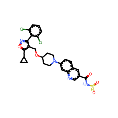 O=C(N[SH](=O)=O)c1cnc2cc(N3CCC(OCc4c(-c5c(Cl)cccc5Cl)noc4C4CC4)CC3)ccc2c1